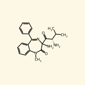 CC(C)[C@H](N)C(=O)C1(N)N=C(c2ccccc2)c2ccccc2N(C)C1=O